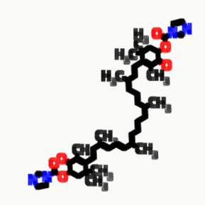 CC(C=CC=C(C)C=CC1=C(C)C(=O)C(OC(=O)n2ccnc2)CC1(C)C)=CC=CC=C(C)C=CC=C(C)C=CC1=C(C)C(=O)C(OC(=O)n2ccnc2)CC1(C)C